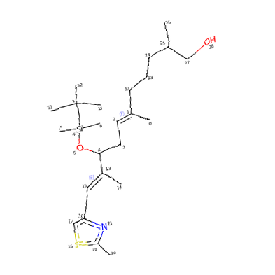 C/C(=C\CC(O[Si](C)(C)C(C)(C)C)/C(C)=C/c1csc(C)n1)CCCC(C)CO